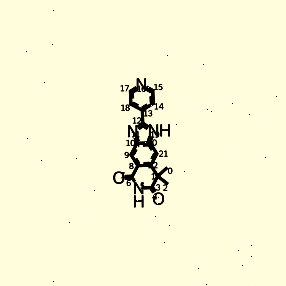 CC1(C)C(=O)NC(=O)c2cc3nc(-c4ccncc4)[nH]c3cc21